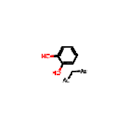 CC(=O)CC(C)=O.Oc1ccccc1O